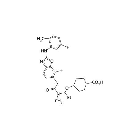 CCC(OC1CCC(C(=O)O)CC1)N(C)C(=O)Cc1ccc2nc(Nc3cc(F)ccc3C)oc2c1F